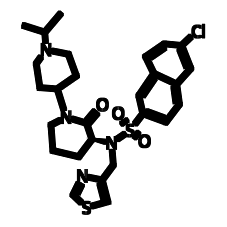 CC(C)N1CCC(N2CCC[C@H](N(Cc3cscn3)S(=O)(=O)c3ccc4cc(Cl)ccc4c3)C2=O)CC1